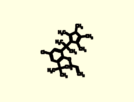 C=CCOc1c(C(C)(C)C)cc(Cl)cc1C(C)(C)C1=C(C)C(C)C(C)=C1C